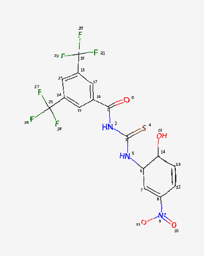 O=C(NC(=S)NC1C=C([N+](=O)[O-])C=CC1O)c1cc(C(F)(F)F)cc(C(F)(F)F)c1